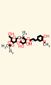 COc1cc(/C=C/C(=O)OC2C(C)OC(OC3C(C)OC(CO)C4OC(C)(C)OC34)C(O)C2O)ccc1O